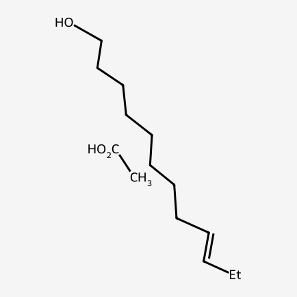 CC(=O)O.CC/C=C/CCCCCCCCO